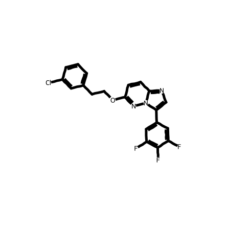 Fc1cc(-c2cnc3ccc(OCCc4cccc(Cl)c4)nn23)cc(F)c1F